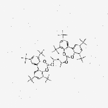 CC(CC(C)Op1oc2c(C(C)(C)C)cc(C(C)(C)C)cc2c2cc(C(C)(C)C)cc(C(C)(C)C)c2o1)Op1oc2c(C(C)(C)C)cc(C(C)(C)C)cc2c2cc(C(C)(C)C)cc(C(C)(C)C)c2o1